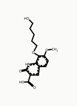 COc1ccc2cc(C(=O)O)c(=O)[nH]c2c1OCCCCCO